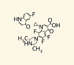 C[C@@H]1CN(c2c(F)c(F)c3c(=O)c(C(=O)O)cn(C4CC4)c3c2F)C[C@H](C)N1.O=c1cc[nH]c2ccc(F)cc12